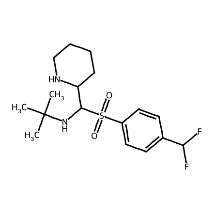 CC(C)(C)NC(C1CCCCN1)S(=O)(=O)c1ccc(C(F)F)cc1